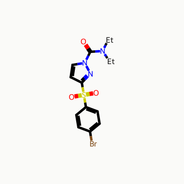 CCN(CC)C(=O)n1ccc(S(=O)(=O)c2ccc(Br)cc2)n1